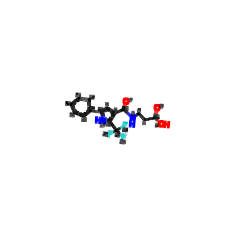 O=C(O)CCNC(=O)c1cc(-c2ccccc2)[nH]c1C(F)(F)F